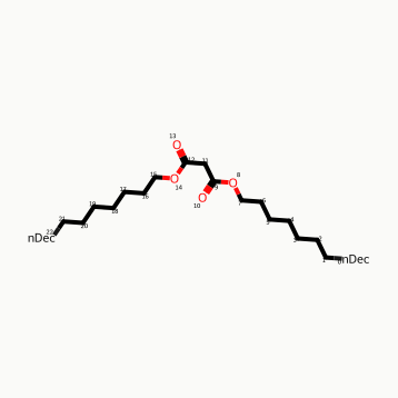 CCCCCCCCCCCCCCCCCOC(=O)CC(=O)OCCCCCCCCCCCCCCCCC